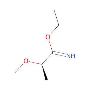 CCOC(=N)[C@@H](C)OC